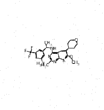 COc1nc2nc(C)nc(N[C@H](C)c3cc(N)cc(C(F)(F)F)c3)c2cc1C1CCOCC1